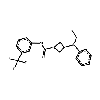 CCN(c1ccccc1)C1CN(C(=O)Nc2cccc(C(F)(F)F)c2)C1